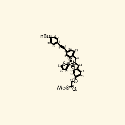 CCCCc1ccc(C#Cc2ccc(CN(Cc3ccc(OCC(=O)OC)cc3)S(=O)(=O)c3cccs3)cc2)cc1